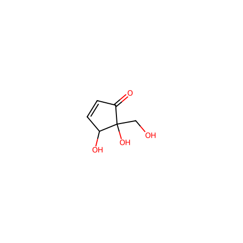 O=C1C=CC(O)C1(O)CO